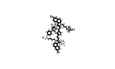 CCCCC[N+]1=C(/C=C/C2=C(Sc3nnnn3-c3ccccc3)C(=C/C=C3/N(CCCCS(=O)(=O)O)c4ccc5cc(Br)ccc5c4C3(C)C)/CC2)C(C)(C)c2c1ccc1cc(Br)ccc21